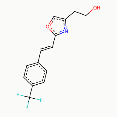 OCCc1coc(C=Cc2ccc(C(F)(F)F)cc2)n1